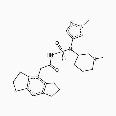 CN1CCCC(N(c2cnn(C)c2)S(=O)(=O)NC(=O)Cc2c3c(cc4c2CCC4)CCC3)C1